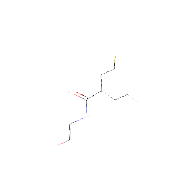 O=C(NCCO)C(CCS)CCS